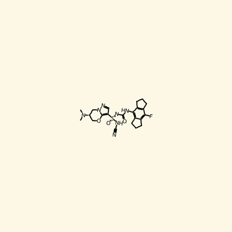 CN(C)[C@@H]1COc2c(S(=O)(=NC(=O)Nc3c4c(c(F)c5c3CCC5)CCC4)NC#N)cnn2C1